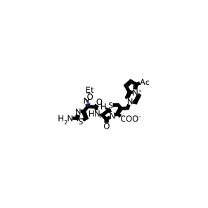 CCO/N=C(\C(=O)N[C@@H]1C(=O)N2C(C(=O)[O-])=C(Cn3cc[n+]4c(C(C)=O)ccc-4c3)CS[C@@H]12)c1csc(N)n1